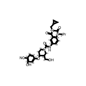 CC(C)n1c(=O)n(CC2CC2)c(=O)c2cc(NC(=O)N3CCC(Oc4ccc(C#N)c(O)c4)C(CO)C3)ccc21